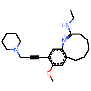 CCN/C1=N/c2cc(C#CCN3CCCCC3)c(OC)cc2CCCCC1